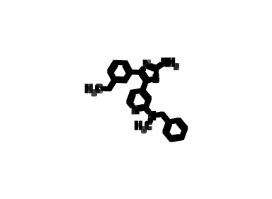 CCc1cccc(-c2nc(N)sc2-c2ccnc(N(C)Cc3ccccc3)c2)c1